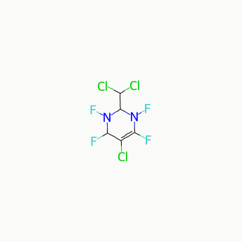 FC1=C(Cl)C(F)N(F)C(C(Cl)Cl)N1F